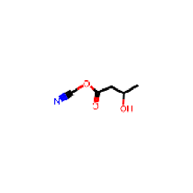 CC(O)CC(=O)OC#N